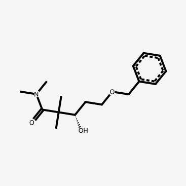 CN(C)C(=O)C(C)(C)[C@@H](O)CCOCc1ccccc1